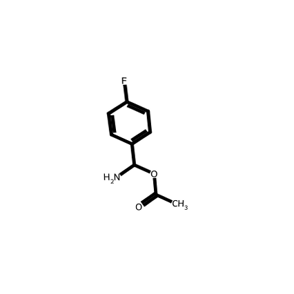 CC(=O)OC(N)c1ccc(F)cc1